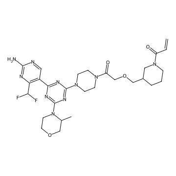 C=CC(=O)N1CCCC(COCC(=O)N2CCN(c3nc(-c4cnc(N)nc4C(F)F)nc(N4CCOCC4C)n3)CC2)C1